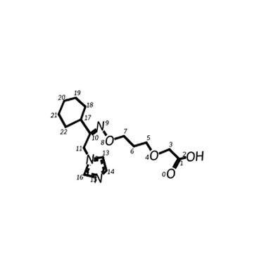 O=C(O)COCCCON=C(Cn1ccnc1)C1CCCCC1